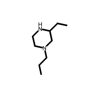 CCCN1CCNC(CC)C1